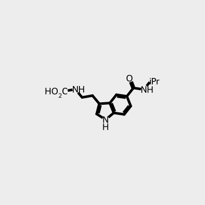 CC(C)NC(=O)c1ccc2[nH]cc(CCNC(=O)O)c2c1